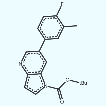 Cc1cc(-c2cnc3ccn(C(=O)OC(C)(C)C)c3c2)ccc1F